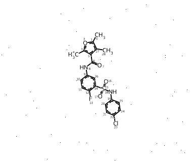 Cc1oc(C)c(C(=O)Nc2ccc(F)c(S(=O)(=O)Nc3ccc(Cl)cc3)c2)c1C